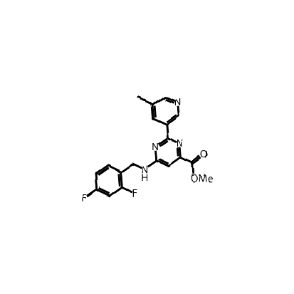 COC(=O)c1cc(NCc2ccc(F)cc2F)nc(-c2cncc(C)c2)n1